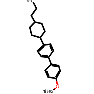 CCCCCCOc1ccc(-c2ccc(C3CCC(CCC(C)C)CC3)cc2)cc1